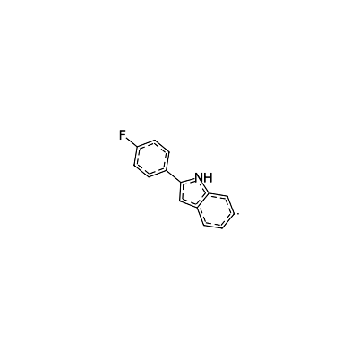 Fc1ccc(-c2cc3cc[c]cc3[nH]2)cc1